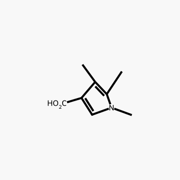 Cc1c(C(=O)O)cn(C)c1C